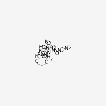 Nc1nn2c(c1C(=O)Nc1cnccc1-c1ccc(C(=O)N3CCC(N4CCCC4)CC3)nc1)NCC(F)C21CCCCCCCCCCCC1